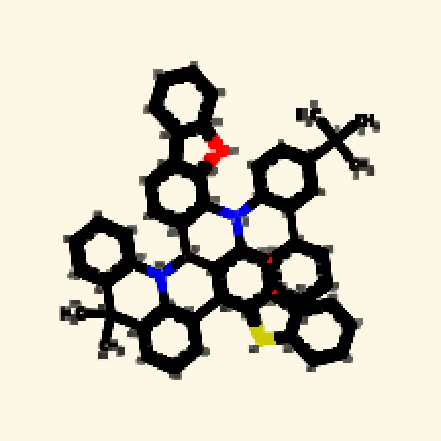 CC(C)(C)c1ccc(N2c3cc4c(sc5ccccc54)c4c3B(c3ccc5c(oc6ccccc65)c32)N2c3ccccc3C(C)(C)c3cccc-4c32)c(-c2ccccc2)c1